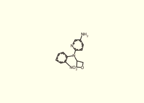 Nc1ccc(N(c2ccccc2[N+](=O)[O-])C2COC2)nc1